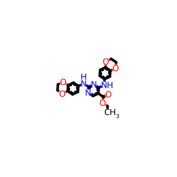 CCOC(=O)c1cnc(Nc2ccc3c(c2)OCCO3)nc1Nc1ccc2c(c1)OCCO2